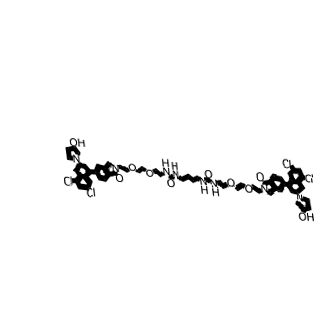 O=C(NCCCCNC(=O)NCCOCCOCCN1Cc2cc(C3CC(N4CCC(O)C4)Cc4c(Cl)cc(Cl)cc43)ccc2C1=O)NCCOCCOCCN1Cc2cc(C3CC(N4CCC(O)C4)Cc4c(Cl)cc(Cl)cc43)ccc2C1=O